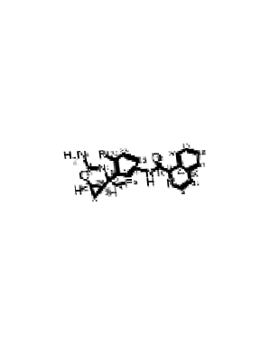 NC1=N[C@](CF)(c2cc(NC(=O)c3nccc4ccccc34)ccc2F)[C@H]2C[C@H]2O1